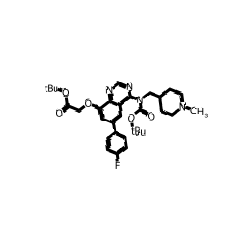 CN1CCC(CN(C(=O)OC(C)(C)C)c2ncnc3c(OCC(=O)OC(C)(C)C)cc(-c4ccc(F)cc4)cc23)CC1